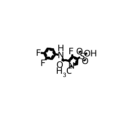 Cn1cc(S(=O)(=O)O)c(F)c1C(=O)Nc1ccc(F)c(F)c1